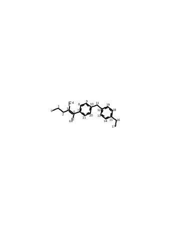 CCCC(F)=C(F)c1ccc(Cc2ccc(CC)cc2)cc1